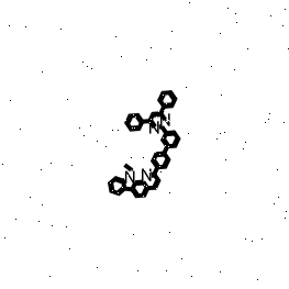 CCn1c2ccccc2c2ccc3ccc(-c4ccc(-c5cccc(-c6nc(-c7ccccc7)cc(-c7ccccc7)n6)c5)cc4)nc3c21